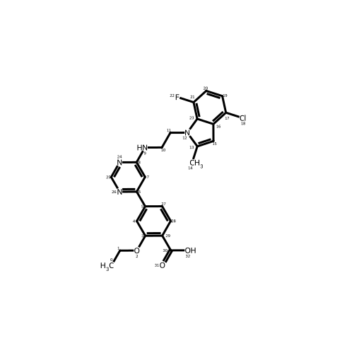 CCOc1cc(-c2cc(NCCn3c(C)cc4c(Cl)ccc(F)c43)ncn2)ccc1C(=O)O